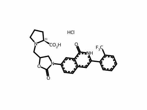 Cl.O=C(O)[C@@H]1CCCN1CC1CN(c2ccc3cc(-c4ccccc4C(F)(F)F)[nH]c(=O)c3c2)C(=O)O1